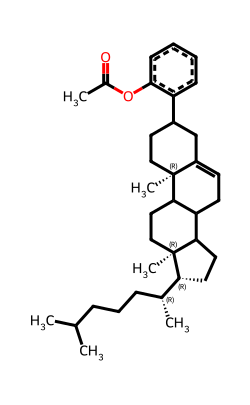 CC(=O)Oc1ccccc1C1CC[C@@]2(C)C(=CCC3C2CC[C@@]2(C)C3CC[C@@H]2[C@H](C)CCCC(C)C)C1